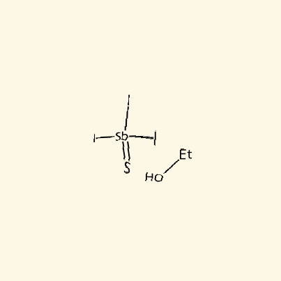 CCO.[S]=[Sb]([I])([I])[I]